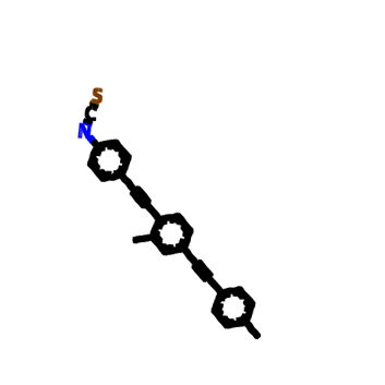 Cc1ccc(C#Cc2ccc(C#Cc3ccc(N=C=S)cc3)c(C)c2)cc1